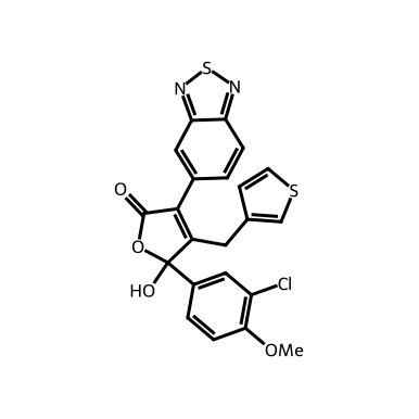 COc1ccc(C2(O)OC(=O)C(c3ccc4nsnc4c3)=C2Cc2ccsc2)cc1Cl